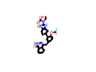 CCN(C(=O)O)c1nc2cc(-c3cc(Cc4n[nH]c(=O)c5ccccc45)ccc3OC(F)F)ccc2[nH]1